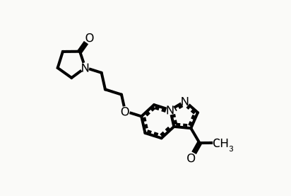 CC(=O)c1cnn2cc(OCCCN3CCCC3=O)ccc12